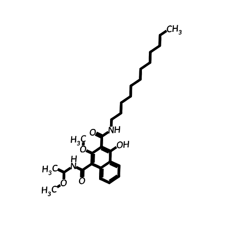 CCCCCCCCCCCCNC(=O)c1c(OC)c(C(=O)NC(C)OC)c2ccccc2c1O